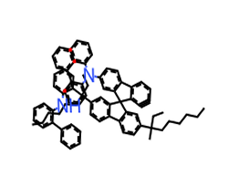 CCCCCCC(C)(CC)c1ccc2c(c1)C1(c3c#cccc3-c3ccc(N(c4ccccc4)c4ccccc4-c4ccccc4)cc31)c1cc(C(CC)(CCCCCC)c3ccccc3Nc3ccccc3-c3ccccc3)ccc1-2